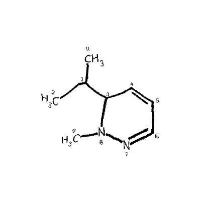 CC(C)C1C=CC=NN1C